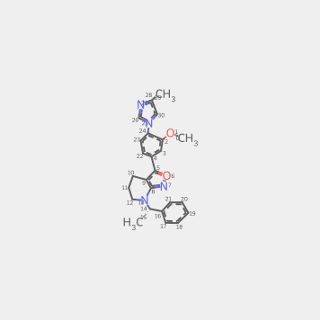 COc1cc(-c2onc3c2CCCN3[C@@H](C)c2ccccc2)ccc1-n1cnc(C)c1